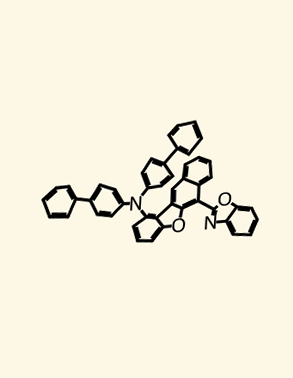 c1ccc(-c2ccc(N(c3ccc(-c4ccccc4)cc3)c3cccc4oc5c(-c6nc7ccccc7o6)c6ccccc6cc5c34)cc2)cc1